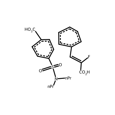 CCCN(CCC)S(=O)(=O)c1ccc(C(=O)O)cc1.O=C(O)/C(F)=C/c1ccccc1